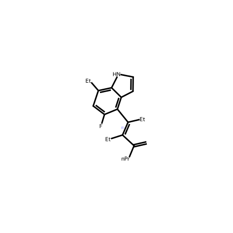 C=C(CCC)/C(CC)=C(\CC)c1c(F)cc(CC)c2[nH]ccc12